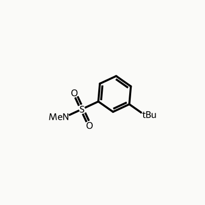 CNS(=O)(=O)c1cccc(C(C)(C)C)c1